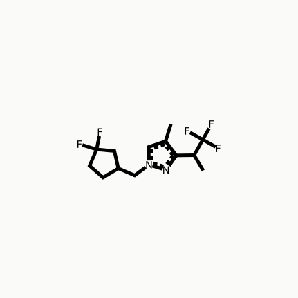 Cc1cn(CC2CCC(F)(F)C2)nc1C(C)C(F)(F)F